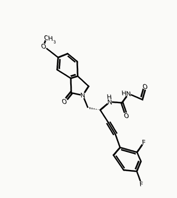 COc1ccc2c(c1)C(=O)N(C[C@@H](C#Cc1ccc(F)cc1F)NC(=O)NC=O)C2